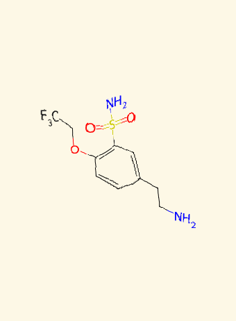 NCCc1ccc(OCC(F)(F)F)c(S(N)(=O)=O)c1